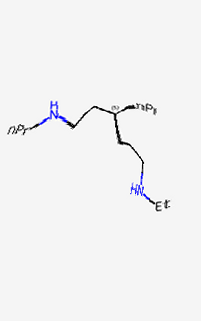 CCCNCC[C@@H](CCC)CCNCC